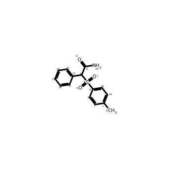 Cc1ccc(S(=O)(=O)C(C(N)=O)c2ccccc2)cc1